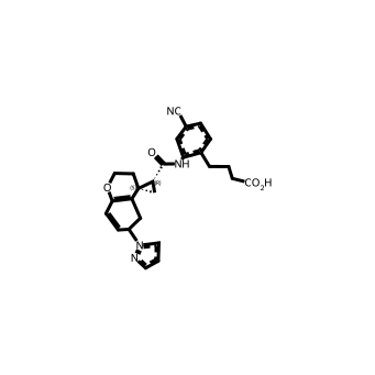 N#Cc1ccc(CCCC(=O)O)c(NC(=O)[C@@H]2C[C@]23CCOC2=C3CC(n3cccn3)C=C2)c1